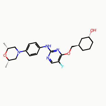 C[C@@H]1CN(c2ccc(Nc3ncc(F)c(OC[C@@H]4CCC[C@@H](O)C4)n3)cc2)C[C@H](C)O1